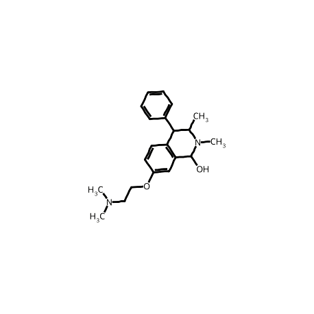 CC1C(c2ccccc2)c2ccc(OCCN(C)C)cc2C(O)N1C